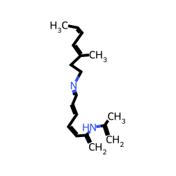 C=C(C)NC(=C)\C=C/C=C/C=N/CC/C(C)=C/C=C\C